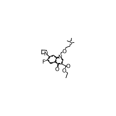 CCOC(=O)c1cn(COCCS(C)(C)C)c2cc(N3CCC3)c(F)cc2c1=O